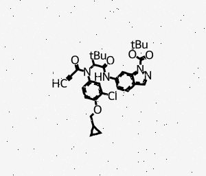 C#CC(=O)N(c1ccc(OCC2CC2)c(Cl)c1)C(C(=O)Nc1ccc2cnn(C(=O)OC(C)(C)C)c2c1)C(C)(C)C